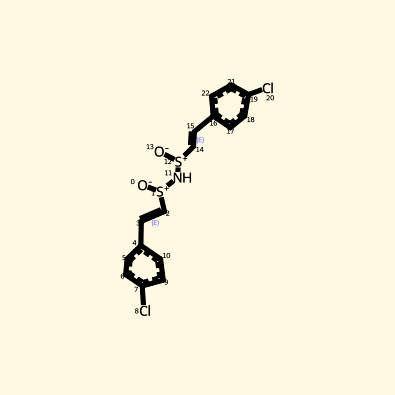 [O-][S+](/C=C/c1ccc(Cl)cc1)N[S+]([O-])/C=C/c1ccc(Cl)cc1